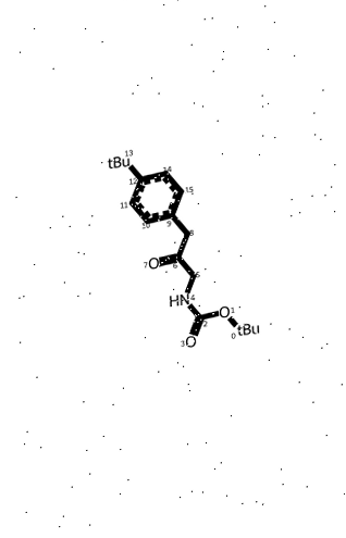 CC(C)(C)OC(=O)NCC(=O)Cc1ccc(C(C)(C)C)cc1